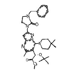 COC(=O)[C@@H](OC(C)(C)C)c1c(C)nc2cc(N3CCN(Cc4ccccc4)C3=O)nn2c1N1CCC(C)(C)CC1